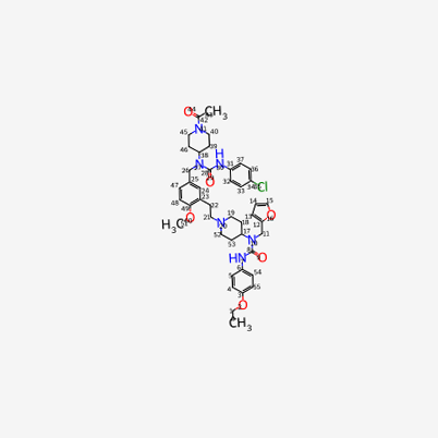 CCOc1ccc(NC(=O)N(Cc2ccco2)C2CCN(CCc3cc(CN(C(=O)Nc4ccc(Cl)cc4)C4CCN(C(C)=O)CC4)ccc3OC)CC2)cc1